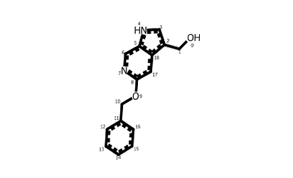 OCc1c[nH]c2cnc(OCc3ccccc3)cc12